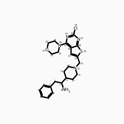 NC(Cc1ccccc1)C1CCN(Cc2cc3c(N4CCOCC4)nc(Cl)nc3s2)CC1